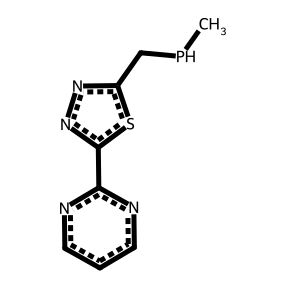 CPCc1nnc(-c2ncccn2)s1